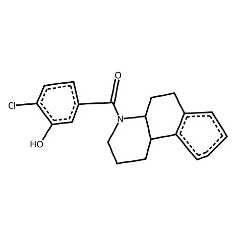 O=C(c1ccc(Cl)c(O)c1)N1CCCC2c3ccccc3CCC21